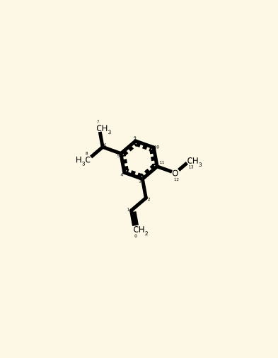 C=CCc1cc(C(C)C)ccc1OC